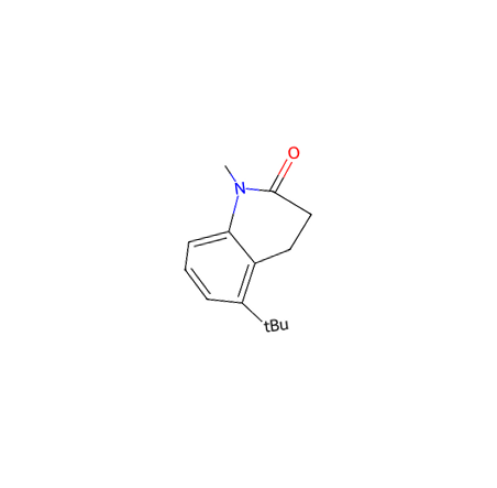 CN1C(=O)CCc2c1cccc2C(C)(C)C